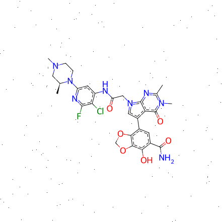 Cc1nc2c(c(-c3cc(C(N)=O)c(O)c4c3OCO4)cn2CC(=O)Nc2cc(N3CCN(C)C[C@@H]3C)nc(F)c2Cl)c(=O)n1C